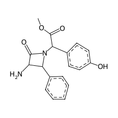 COC(=O)C(c1ccc(O)cc1)N1C(=O)C(N)C1c1ccccc1